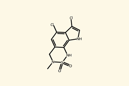 CN1Cc2cc(Cl)c3c(Cl)c[nH]c3c2NS1(=O)=O